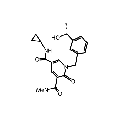 CNC(=O)c1cc(C(=O)NC2CC2)cn(Cc2cccc([C@@H](C)O)c2)c1=O